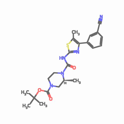 Cc1sc(NC(=O)N2CCN(C(=O)OC(C)(C)C)C[C@@H]2C)nc1-c1cccc(C#N)c1